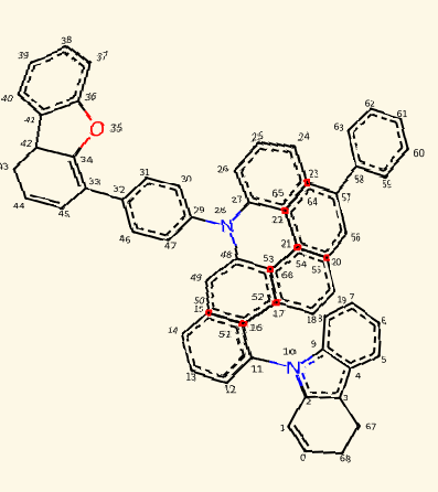 C1=Cc2c(c3ccccc3n2-c2ccccc2-c2cccc(-c3ccccc3N(c3ccc(C4=C5Oc6ccccc6C5CC=C4)cc3)c3ccccc3-c3ccc(-c4ccccc4)cc3)c2)CC1